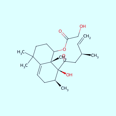 C=C[C@@H](C)CC(=O)[C@]1(O)[C@@H](C)CC=C2C(C)(C)CCC(OC(=O)CO)[C@@]21C